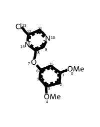 COc1cc(OC)cc(Oc2cncc(Cl)n2)c1